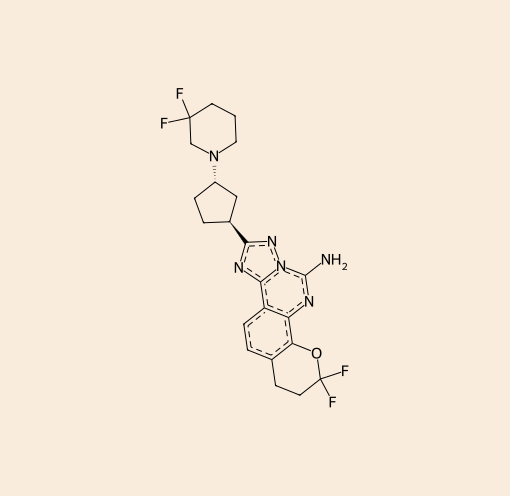 Nc1nc2c3c(ccc2c2nc([C@H]4CC[C@H](N5CCCC(F)(F)C5)C4)nn12)CCC(F)(F)O3